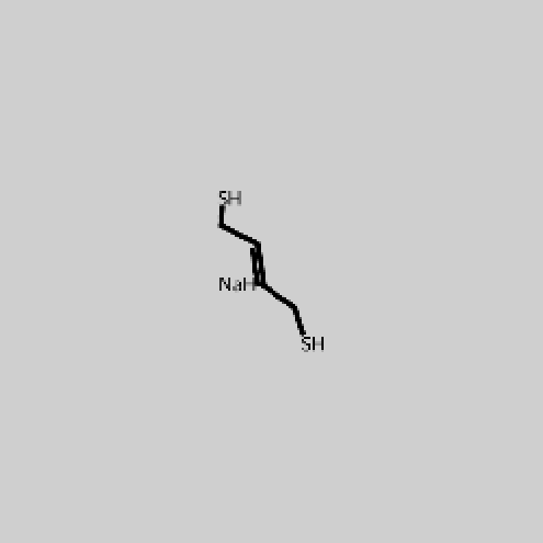 SCC=CCS.[NaH]